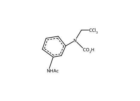 CC(=O)Nc1cccc(N(CC(Cl)(Cl)Cl)C(=O)O)c1